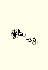 CC(=O)c1ccc(CCCOc2ccc3c(O)c([N+](=O)[O-])c(=O)oc3c2)cc1